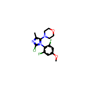 COc1cc(F)c(-n2c(Cl)nc(C)c2N2CCOCC2)c(F)c1